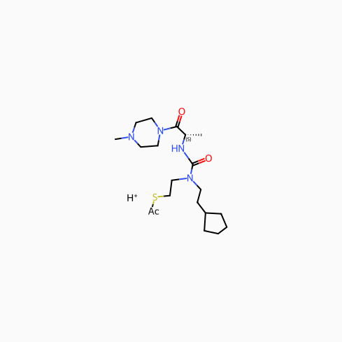 CC(=O)SCCN(CCC1CCCC1)C(=O)N[C@@H](C)C(=O)N1CCN(C)CC1.[H+]